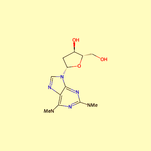 CNc1nc(NC)c2ncn([C@@H]3C[C@@H](O)[C@H](CO)O3)c2n1